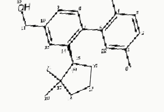 Cc1ccc(F)c(-c2ccc(CO)cc2[C@H]2CCCC2(C)C)c1